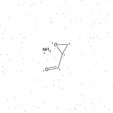 N.O=CC1CO1